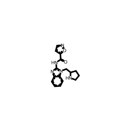 O=C(Nc1nc2ccccc2n1CC1CCCN1)c1ccno1